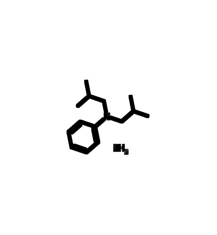 B.CC(C)CN(CC(C)C)c1ccccc1